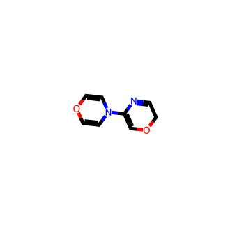 C1=CN(C2=COCC=N2)C=CO1